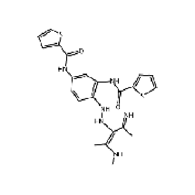 CN/C(C)=C(/NNc1ccc(NC(=O)c2cccs2)cc1NC(=O)c1cccs1)C(C)=N